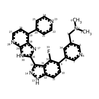 CN(C)Cc1cncc(-c2ccc3[nH]nc(-c4nc5c(-c6ccncc6)ccnc5[nH]4)c3c2F)c1